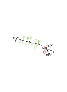 CCCO[Si](C)(CCC(F)(F)C(F)(F)C(F)(F)C(F)(F)C(F)(F)C(F)(F)C(F)(F)C(F)(F)F)OCCC